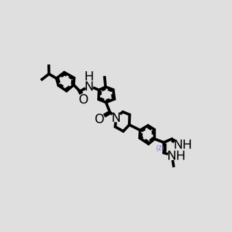 CN/C=C(\C=N)c1ccc(C2CCN(C(=O)c3ccc(C)c(NC(=O)c4ccc(C(C)C)cc4)c3)CC2)cc1